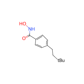 CC(C)(C)CCc1ccc(C(=O)NO)cc1